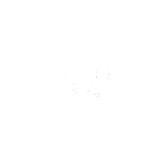 CC(C)[C@@H](NC(=O)[C@H]1CCCN1C(=O)c1cccc(S(C)(=O)=O)c1)c1ccc(C(F)(F)F)cc1F